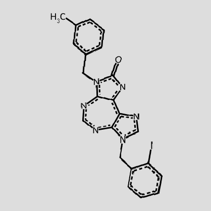 Cc1cccc(Cn2c3ncnc4c(ncn4Cc4ccccc4I)c-3nc2=O)c1